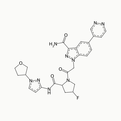 NC(=O)c1nn(CC(=O)N2CC(F)CC2C(=O)Nc2ccn(C3CCOC3)n2)c2ccc(-c3ccnnc3)cc12